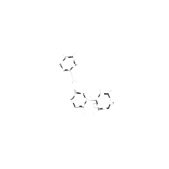 O=Cc1ccc(OCc2ccccc2)cc1-c1ccncc1